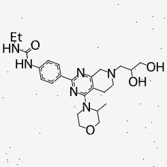 CCNC(=O)Nc1ccc(-c2nc3c(c(N4CCOCC4C)n2)CCN(CC(O)CO)C3)cc1